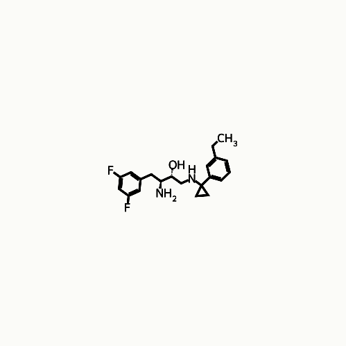 CCc1cccc(C2(NC[C@@H](O)[C@@H](N)Cc3cc(F)cc(F)c3)CC2)c1